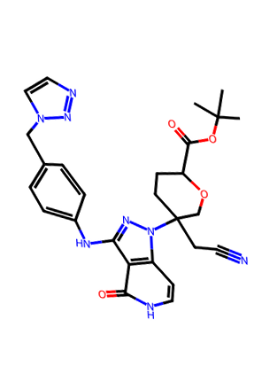 CC(C)(C)OC(=O)C1CCC(CC#N)(n2nc(Nc3ccc(Cn4ccnn4)cc3)c3c(=O)[nH]ccc32)CO1